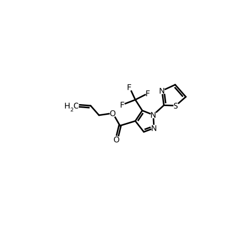 C=CCOC(=O)c1cnn(-c2nccs2)c1C(F)(F)F